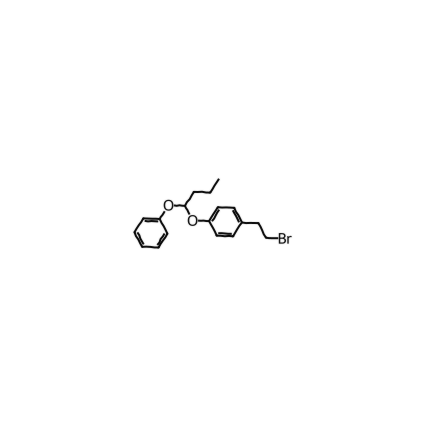 CCCC(Oc1ccccc1)Oc1ccc(CCBr)cc1